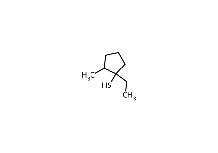 CCC1(S)CCCC1C